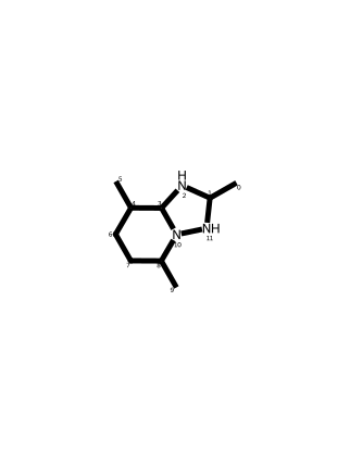 CC1NC2C(C)CCC(C)N2N1